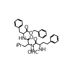 CC(C)CC(NC(=O)C(CCc1ccccc1)NC=O)C(=O)NC(Cc1ccccc1)C(=O)OCc1ccccc1